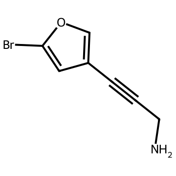 NCC#Cc1coc(Br)c1